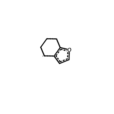 [CH]1CCCc2occc21